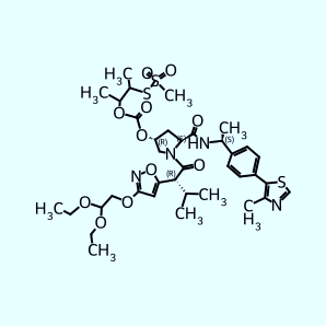 CCOC(COc1cc([C@H](C(=O)N2C[C@H](OC(=O)OC(C)C(C)SS(C)(=O)=O)C[C@H]2C(=O)N[C@@H](C)c2ccc(-c3scnc3C)cc2)C(C)C)on1)OCC